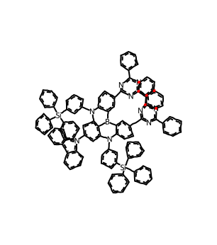 c1ccc(-c2nc(-c3ccccc3)nc(-c3ccc4c(c3)B3c5cc(-c6nc(-c7ccccc7)nc(-c7ccccc7)n6)ccc5N(c5cccc([Si](c6ccccc6)(c6ccccc6)c6ccccc6)c5)c5cc(-n6c7ccccc7c7ccccc76)cc(c53)N4c3cccc([Si](c4ccccc4)(c4ccccc4)c4ccccc4)c3)n2)cc1